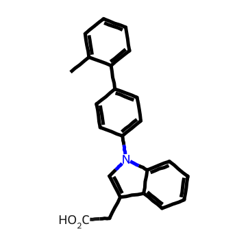 Cc1ccccc1-c1ccc(-n2cc(CC(=O)O)c3ccccc32)cc1